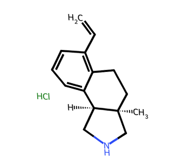 C=Cc1cccc2c1CC[C@@]1(C)CNC[C@@H]21.Cl